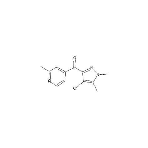 Cc1cc(C(=O)c2nn(C)c(C)c2Cl)ccn1